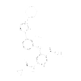 COc1c(Nc2cc(NC(=O)C3CC3)ncc2C(N)=O)cccc1-c1ccn([C@@H]2CCCOC2)n1